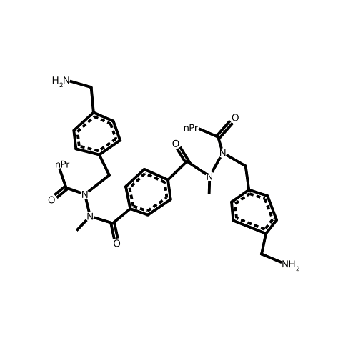 CCCC(=O)N(Cc1ccc(CN)cc1)N(C)C(=O)c1ccc(C(=O)N(C)N(Cc2ccc(CN)cc2)C(=O)CCC)cc1